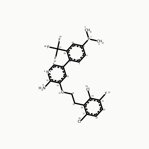 CP(C)c1ccc(-c2cnc(N)c(OCCc3c(Cl)ccc(F)c3Cl)c2)c(C(F)(F)F)c1